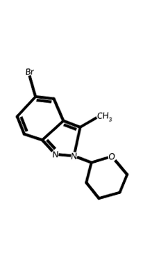 Cc1c2cc(Br)ccc2nn1C1CCCCO1